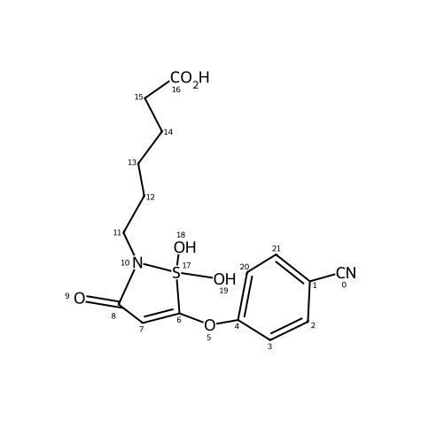 N#Cc1ccc(OC2=CC(=O)N(CCCCCC(=O)O)S2(O)O)cc1